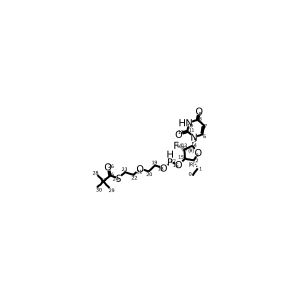 CC[C@H]1O[C@@H](n2ccc(=O)[nH]c2=O)[C@@H](F)C1OPOCCOCCSC(=O)C(C)(C)C